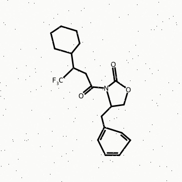 O=C(CC(C1CCCCC1)C(F)(F)F)N1C(=O)OCC1Cc1ccccc1